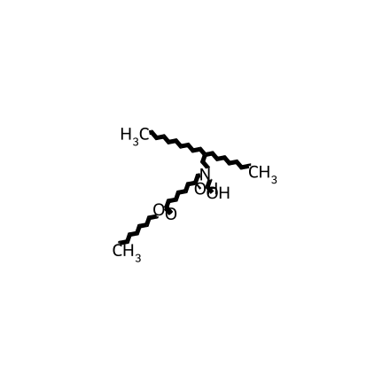 CCCCCCCCCCC(CCCCCCCC)CCN(CCO)C[C@@H](O)CCCCCC(=O)OCCCCCCCCC